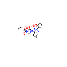 Cc1ccc2c(N3CCN(C(=O)[C@H](O)CC(C)C)CC3)nc(-c3c(C)cccc3O)nc2c1